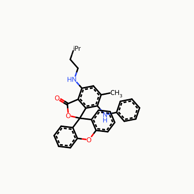 Cc1cc(NCCC(C)C)c2c(c1Nc1ccccc1)C1(OC2=O)c2ccccc2Oc2ccccc21